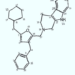 c1ccc(Cc2nc(CC3CCCCC3)oc2CN2CCc3c([nH]c4ccccc34)C2)cc1